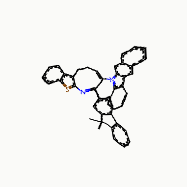 CC1(C)c2ccccc2-c2ccc(C3=N/c4sc5ccccc5c4CC/C=C\3n3c4c(c5cc6ccccc6cc53)C=CCC4)cc21